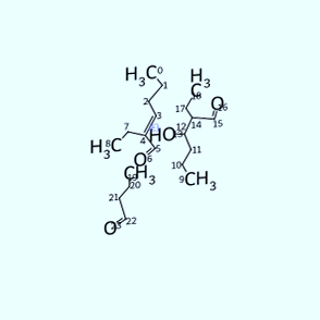 CCC/C=C(/C=O)CC.CCCC(O)C(C=O)CC.CCCC=O